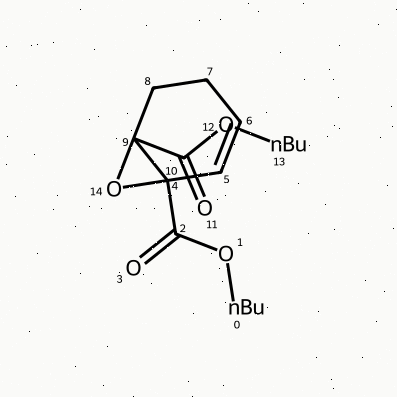 CCCCOC(=O)C12C=CCCC1(C(=O)OCCCC)O2